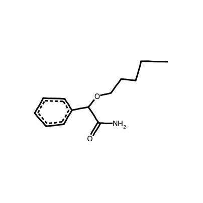 CCCCCOC(C(N)=O)c1ccccc1